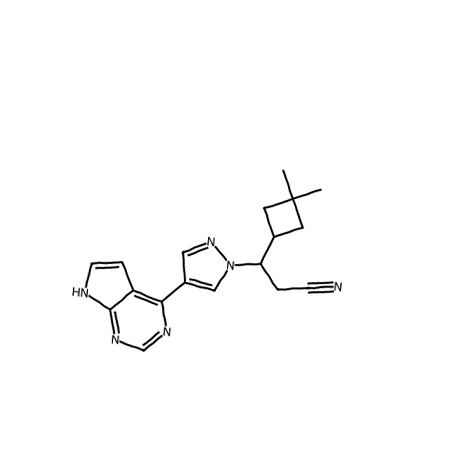 CC1(C)CC(C(CC#N)n2cc(-c3ncnc4[nH]ccc34)cn2)C1